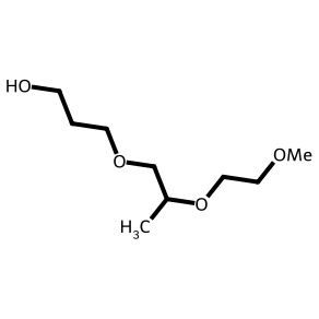 COCCOC(C)COCCCO